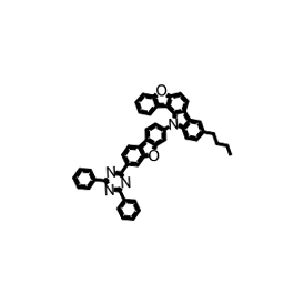 CCCCc1ccc2c(c1)c1ccc3oc4ccccc4c3c1n2-c1ccc2c(c1)oc1cc(-c3nc(-c4ccccc4)nc(-c4ccccc4)n3)ccc12